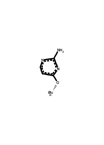 CC[C@@H](C)Oc1ccnc(N)n1